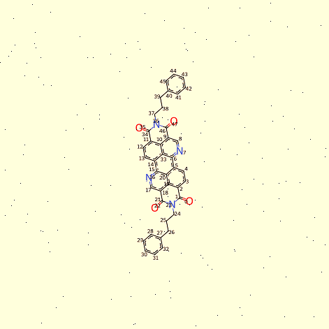 O=C1c2ccc3c4ncc5c6c(ccc(c7ncc(c2c37)C(=O)N1CCCc1ccccc1)c64)C(=O)N(CCCc1ccccc1)C5=O